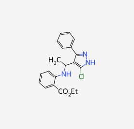 CCOC(=O)c1ccccc1NC(C)c1c(-c2ccccc2)n[nH]c1Cl